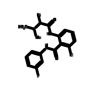 CCC(C(=O)Nc1cccc(Cl)c1C(=O)Nc1cccc(F)c1)N(C(=O)O)C(C)(C)C